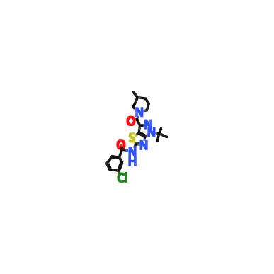 CC1CCCN(C(=O)c2nn(C(C)(C)C)c3nc(NC(=O)c4cccc(Cl)c4)sc23)C1